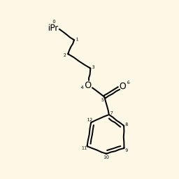 CC(C)CCCOC(=O)c1ccccc1